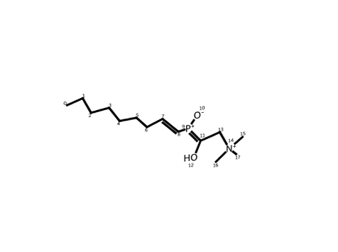 CCCCCCCC=C[P+]([O-])=C(O)C[N+](C)(C)C